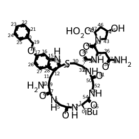 CC[C@H](C)[C@@H]1NC(=O)CNC(=O)[C@H](N)Cc2c([nH]c3cc(OCc4ccccc4)ccc23)SC[C@H](C(=O)NC(CC(N)=O)C(=O)N2C[C@H](O)C[C@H]2C(=O)O)NC(=O)CNC1=O